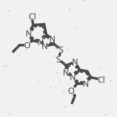 CCOc1nc(Cl)cc2nc(SSc3nc4cc(Cl)nc(OCC)n4n3)nn12